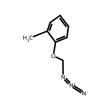 Cc1ccccc1OCN=[N+]=[N-]